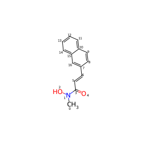 CN(O)C(=O)C=Cc1ccc2ccccc2c1